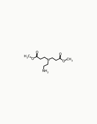 COC(=O)CCN(CCN)CCC(=O)OC